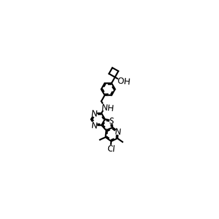 Cc1nc2sc3c(NCc4ccc(C5(O)CCC5)cc4)ncnc3c2c(C)c1Cl